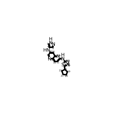 c1n[nH]cc1Nc1cnc2ccc(Nc3nnc(C4CCCC4)s3)nc2c1